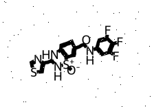 O=C(Nc1cc(F)c(F)c(F)c1)c1ccc2c(c1)[S+]([O-])NC(c1cscn1)N2